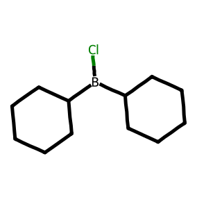 ClB(C1CCCCC1)C1CCCCC1